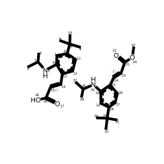 CC(C)Nc1cc(C(C)(C)C)ccc1/C=C/C(=O)O.COC(=O)/C=C/c1ccc(C(C)(C)C)cc1NC(C)C